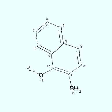 Bc1ccc2ccccc2c1OC